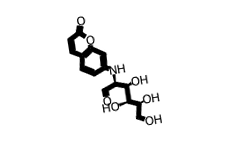 O=C[C@@H](Nc1ccc2ccc(=O)oc2c1)[C@@H](O)[C@H](O)[C@H](O)CO